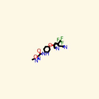 Cc1nnc(C(=O)N[C@H]2CC[C@H](Oc3cnc(C#N)c(C(F)(F)F)c3)CC2)o1